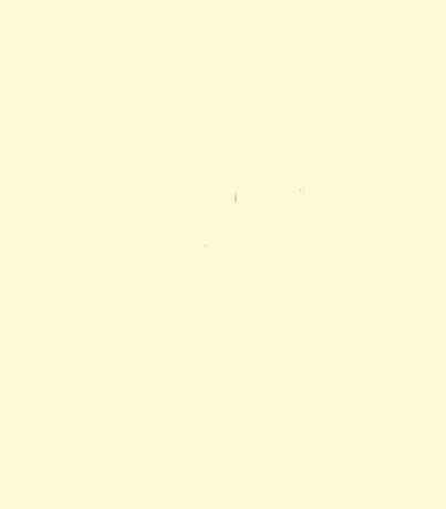 CCSc1cc(C2(NC(=O)c3cc(OCCN(C)C)ccc3C)CC2)c2ccccc2c1